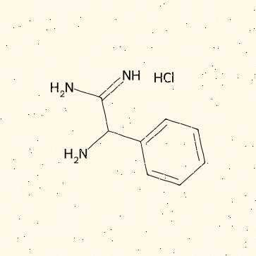 Cl.N=C(N)C(N)c1ccccc1